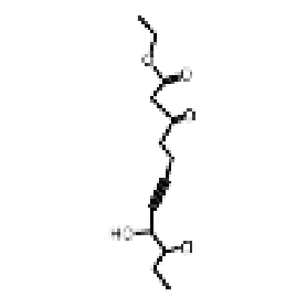 CCOC(=O)CC(=O)CCC#CC(O)C(Cl)CC